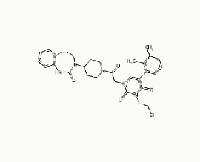 Cc1cccc(-c2cn(CC(=O)N3CCC(N4CCc5ccccc5NC4=O)CC3)c(=O)n(CCO)c2=O)c1C